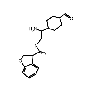 NC(CNC(=O)C1COc2ccccc21)C1CCC(C=O)CC1